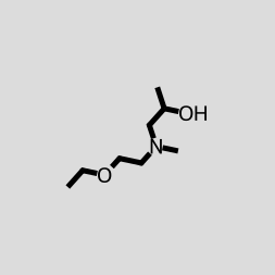 CCOCCN(C)CC(C)O